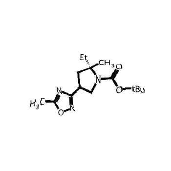 CC[C@@]1(C)CC(c2noc(C)n2)CN1C(=O)OC(C)(C)C